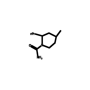 CCCC1CC(C)CCN1C(N)=O